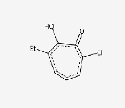 CCc1cccc(Cl)c(=O)c1O